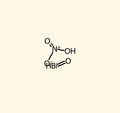 O=[N+]([O-])O.[O]=[BiH]